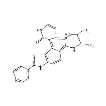 CC(C)[C@H](C)Nc1nc2cc[nH]c(=O)c2c2cc(NC(=O)c3ccncc3)ccc12